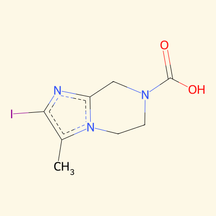 Cc1c(I)nc2n1CCN(C(=O)O)C2